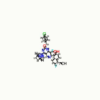 C#Cc1c(F)ccc2c(-c3ncc4c(N5C[C@H]6CC[C@@H](C5)N6)nc(OCC56CCC(Cl)(CC5)CC6)nc4c3F)c(O)ccc12